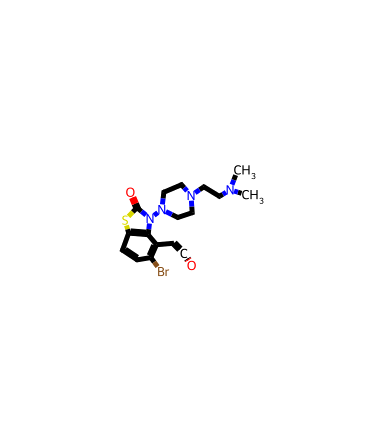 CN(C)CCN1CCN(n2c(=O)sc3ccc(Br)c(C=C=O)c32)CC1